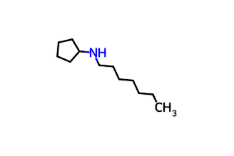 CCCCCCCNC1CCCC1